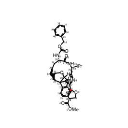 COC(=O)[C@@H]1COC(c2nc3oc2C24c5ccccc5N[C@H]2Oc2ccc(cc24)C[C@H](NC(=O)OCc2ccccc2)C(=O)N[C@H]3C(C)C)=N1